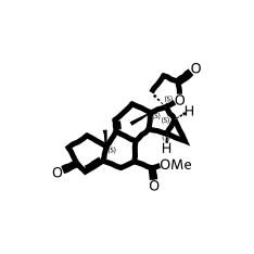 COC(=O)C1CC2=CC(=O)CC[C@]2(C)C2=CC[C@@]3(C)C(C21)[C@@H]1C[C@@H]1[C@@]31CCC(=O)O1